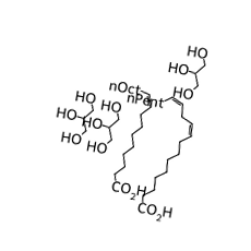 CCCCC/C=C\C/C=C\CCCCCCCC(=O)O.CCCCCCCC/C=C\CCCCCCCC(=O)O.OCC(O)CO.OCC(O)CO.OCC(O)CO